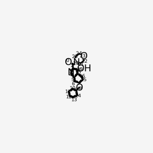 O=C(c1ncc2cc(Oc3ccccc3)ccc2c1O)N1CCOCC1